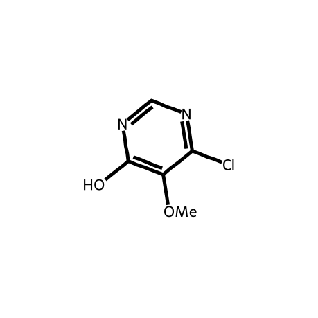 COc1c(O)ncnc1Cl